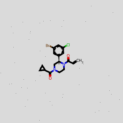 C=CC(=O)N1CCN(C(=O)C2CC2)C[C@H]1c1cc(Cl)cc(Br)c1